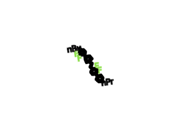 CCCCc1ccc(-c2ccc(CCc3ccc(-c4ccc(CCC)cc4)c(F)c3F)cc2)c(F)c1F